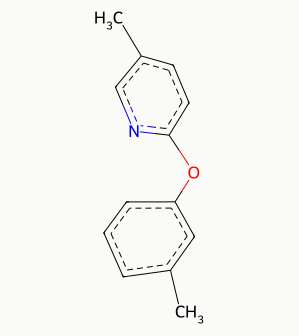 Cc1ccc(Oc2cccc(C)c2)nc1